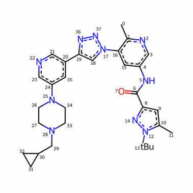 Cc1ncc(NC(=O)c2cc(C)n(C(C)(C)C)n2)cc1-n1cc(-c2cncc(N3CCN(CC4CC4)CC3)c2)nn1